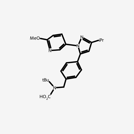 COc1ccc(-n2nc(C(C)C)cc2-c2ccc(CN(C(=O)O)C(C)(C)C)cc2)cn1